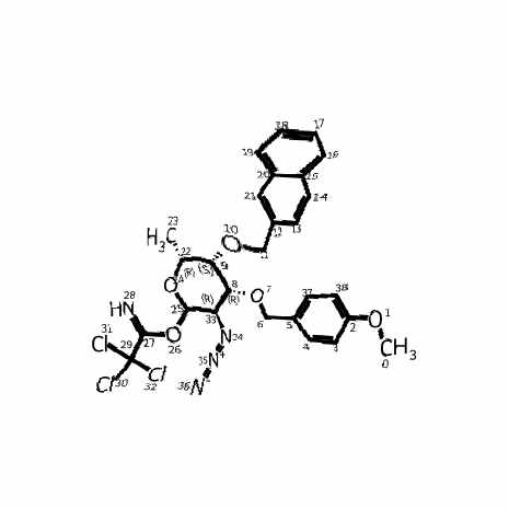 COc1ccc(CO[C@H]2[C@@H](OCc3ccc4ccccc4c3)[C@@H](C)OC(OC(=N)C(Cl)(Cl)Cl)[C@@H]2N=[N+]=[N-])cc1